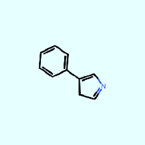 C1=NC=C(c2ccccc2)C1